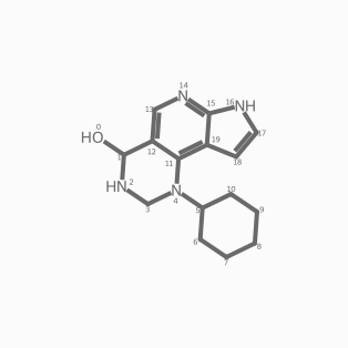 OC1NCN(C2CCCCC2)c2c1cnc1[nH]ccc21